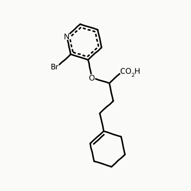 O=C(O)C(CCC1=CCCCC1)Oc1cccnc1Br